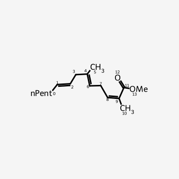 CCCCCC=CCC(C)=CCC=C(C)C(=O)OC